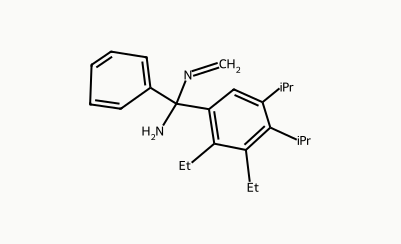 C=NC(N)(c1ccccc1)c1cc(C(C)C)c(C(C)C)c(CC)c1CC